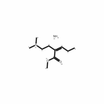 CCC=C(CCN(C)C)C(=O)OC.N